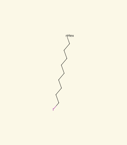 CCCCCCCCCCCCCCCI